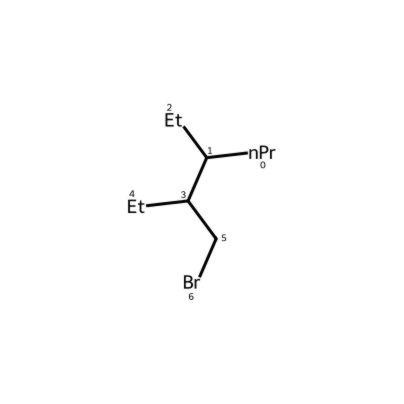 CCCC(CC)C(CC)CBr